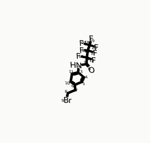 O=C(Nc1ccc(CCBr)cc1)C(F)(F)C(F)(F)C(F)(F)F